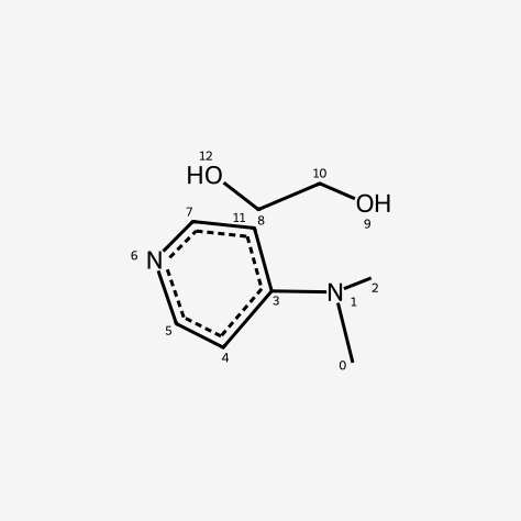 CN(C)c1ccncc1.OCCO